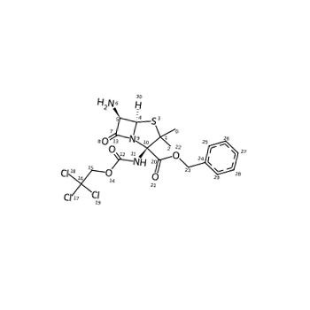 CC1(C)S[C@@H]2[C@H](N)C(=O)N2[C@@]1(NC(=O)OCC(Cl)(Cl)Cl)C(=O)OCc1ccccc1